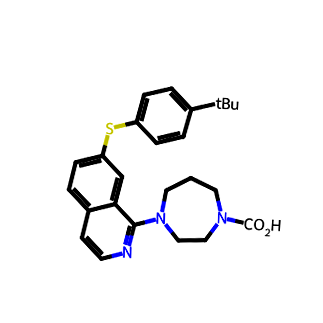 CC(C)(C)c1ccc(Sc2ccc3ccnc(N4CCCN(C(=O)O)CC4)c3c2)cc1